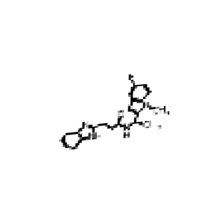 CC(NC(=O)CCc1nc2ccccc2[nH]1)c1cc2cc(F)ccc2n1C